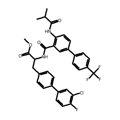 COC(=O)C(Cc1ccc(-c2ccc(F)c(Cl)c2)cc1)NC(=O)c1cc(-c2ccc(C(F)(F)F)cc2)ccc1NC(=O)C(C)C